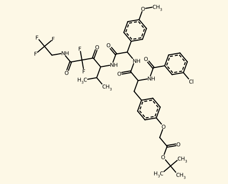 COc1ccc(C(NC(=O)C(Cc2ccc(OCC(=O)OC(C)(C)C)cc2)NC(=O)c2cccc(Cl)c2)C(=O)NC(C(=O)C(F)(F)C(=O)NCC(F)(F)F)C(C)C)cc1